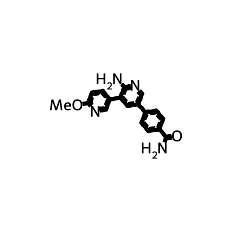 COc1ccc(-c2cc(-c3ccc(C(N)=O)cc3)cnc2N)cn1